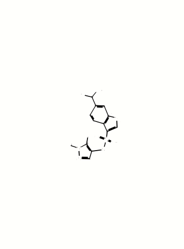 O=S(=O)(Nc1cnn(C(F)(F)F)c1Cl)c1c[nH]c2cc(C(F)F)ccc12